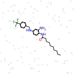 CCCCCCCCCC(=O)Nc1ccc(NCc2ccc(C(F)(F)F)cc2)cc1N